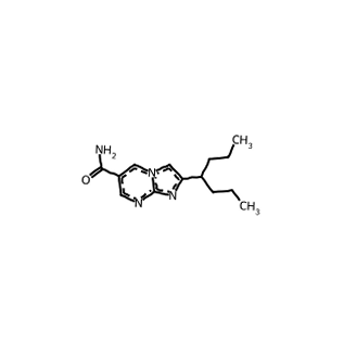 CCCC(CCC)c1cn2cc(C(N)=O)cnc2n1